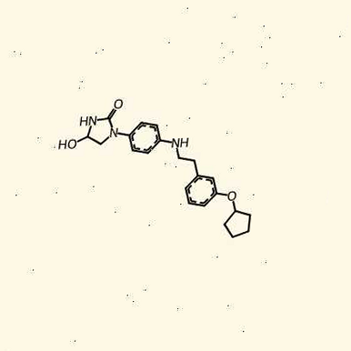 O=C1NC(O)CN1c1ccc(NCCc2cccc(OC3CCCC3)c2)cc1